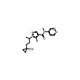 Cc1c(C(=O)N(C)c2ccnnc2)cnn1C(C)CCC1(C#N)CC1